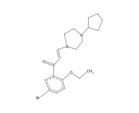 CCOc1ccc(Br)cc1C(=O)C=CN1CCN(C2CCCC2)CC1